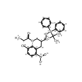 CCC(=O)OCC(CO[Si](c1ccccc1)(c1ccccc1)C(C)(C)C)Cc1cc(Cl)ccc1[N+](=O)[O-]